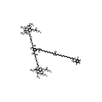 CC(=O)N[C@H]1C(OCCOCCOCCNC(=O)c2cc(NC(=O)CCCCCCCCCCC(=O)NCCCCCCCCCCCC(=O)Oc3c(F)c(F)c(F)c(F)c3F)cc(C(=O)NCCOCCOCCOC3O[C@H](COC(C)=O)[C@H](OC(C)=O)[C@H](OC(C)=O)[C@H]3NC(C)=O)c2)O[C@H](COC(C)=O)[C@H](OC(C)=O)[C@@H]1OC(C)=O